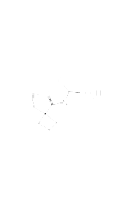 CC(C)CC1(C(=O)NC(C)C(=O)O)CCC1